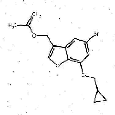 C=C(C)OCc1coc2c(OCC3CC3)cc(Br)cc12